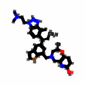 CC[C@@H]1CN(Cc2cc([C@H](CC(=O)O)c3ccc4c(nnn4CCN(C)C)c3C)cc3ccsc23)Cc2nc(O)ccc2O1